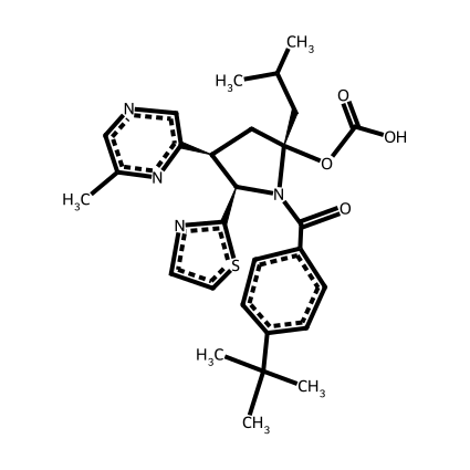 Cc1cncc([C@H]2C[C@](CC(C)C)(OC(=O)O)N(C(=O)c3ccc(C(C)(C)C)cc3)[C@H]2c2nccs2)n1